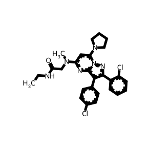 CCNC(=O)CN(C)c1cc(N2CCCC2)n2nc(-c3ccccc3Cl)c(-c3ccc(Cl)cc3)c2n1